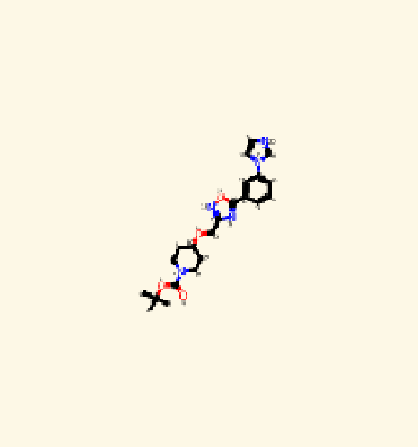 CC(C)(C)OC(=O)N1CCC(OCc2noc(-c3cccc(-n4ccnc4)c3)n2)CC1